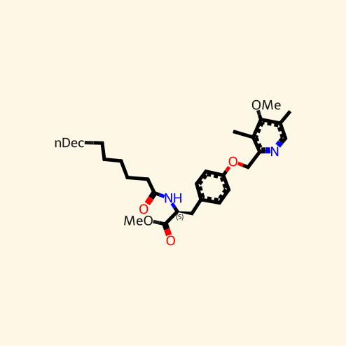 CCCCCCCCCCCCCCCC(=O)N[C@@H](Cc1ccc(OCc2ncc(C)c(OC)c2C)cc1)C(=O)OC